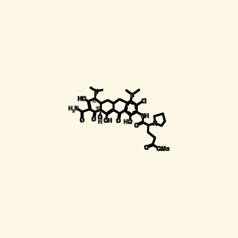 COC(=O)CCC(C(=O)Nc1c(O)c2c(c(N(C)C)c1Cl)CC1CC3[C@H](N(C)C)C(O)=C(C(N)=O)C(=O)[C@]3(O)C(O)=C1C2=O)N1CCCC1